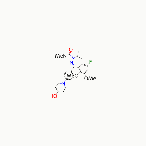 CNC(=O)N1N=C(c2ccc(N3CCC(O)CC3)cc2)c2c(c(F)cc(OC)c2OC)CC1C